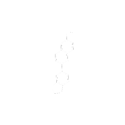 CCCCCCc1c[c]c2nc(-c3ccc4c(c3)OCO4)ccc2c1